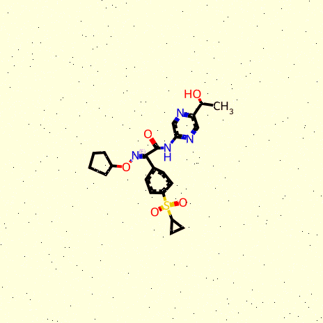 CC(O)c1cnc(NC(=O)/C(=N/OC2CCCC2)c2ccc(S(=O)(=O)C3CC3)cc2)cn1